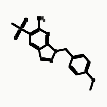 COc1ccc(Cn2ncc3cc(S(C)(=O)=O)c(N)nc32)cc1